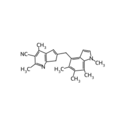 Cc1nc2c(c(C)c1C#N)C=C(Cc1c(C)c(C)c(C)c3c1ccn3C)C2